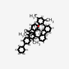 Cc1cc(C)c(-c2cccc3c4cccc(-c5c(C)cc(C)cc5C)c4n(-c4cccc5c4C(=O)N(c4ccc(-c6ccccc6)cc4)C5=O)c23)c(C)c1